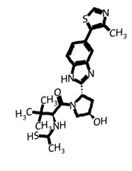 Cc1ncsc1-c1ccc2[nH]c([C@@H]3C[C@@H](O)CN3C(=O)[C@@H](NC(C)S)C(C)(C)C)nc2c1